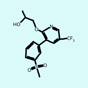 CC(O)COc1ncc(C(F)(F)F)cc1-c1cccc(S(C)(=O)=O)c1